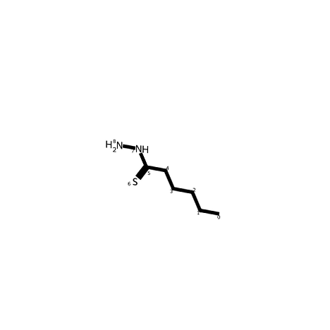 CCCCCC(=S)NN